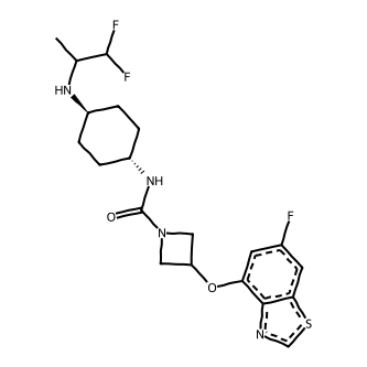 CC(N[C@H]1CC[C@H](NC(=O)N2CC(Oc3cc(F)cc4scnc34)C2)CC1)C(F)F